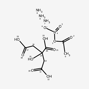 CC(=O)O[N+](=O)[O-].N.N.N.O=C(O)CC(O)(CC(=O)O)C(=O)O